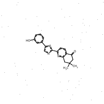 CC1(C)CC(=O)c2ccc(-c3ncc(-c4cccc(O)c4)s3)nc2C1